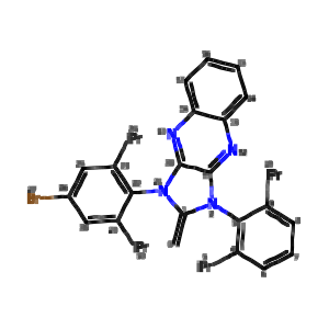 C=C1N(c2c(C(C)C)cccc2C(C)C)c2nc3ccccc3nc2N1c1c(C(C)C)cc(Br)cc1C(C)C